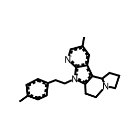 Cc1ccc(CCn2c3c(c4cc(C)cnc42)C2CCCN2CC3)cc1